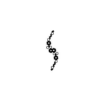 C=COCCCCOc1ccc(C(=O)Oc2cccc3c(OC(=O)c4ccc(OCCCCOC=C)cc4)cccc23)cc1